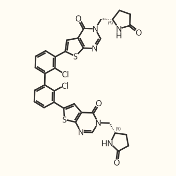 O=C1CC[C@@H](Cn2cnc3sc(-c4cccc(-c5cccc(-c6cc7c(=O)n(C[C@@H]8CCC(=O)N8)cnc7s6)c5Cl)c4Cl)cc3c2=O)N1